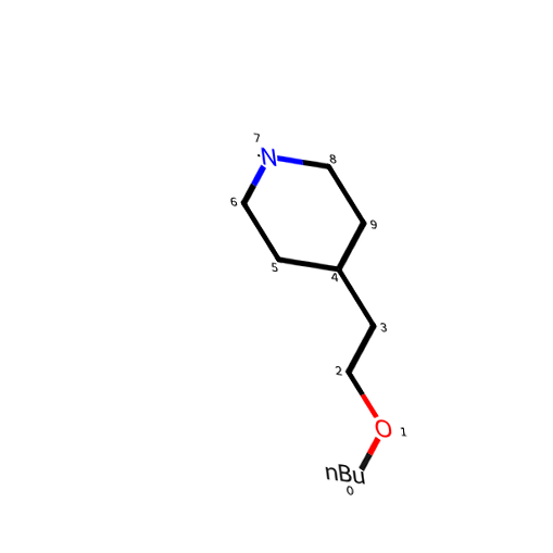 CCCCOCCC1CC[N]CC1